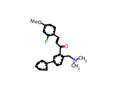 COc1ccc(C=CC(=O)c2cc(-c3ccccc3)ccc2CN(C)C)c(F)c1